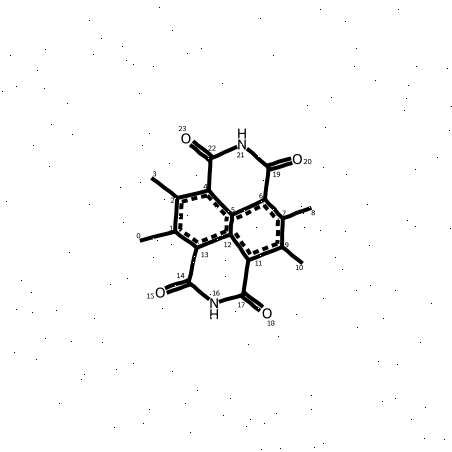 Cc1c(C)c2c3c(c(C)c(C)c4c3c1C(=O)NC4=O)C(=O)NC2=O